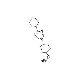 CCCO[C@H]1CC[C@H](c2cnc(C3CCCCC3)nc2)CC1